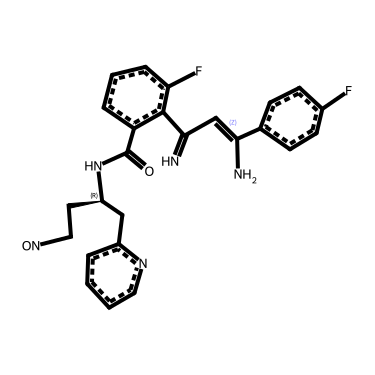 N=C(/C=C(\N)c1ccc(F)cc1)c1c(F)cccc1C(=O)N[C@H](CCN=O)Cc1ccccn1